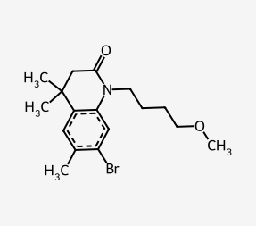 COCCCCN1C(=O)CC(C)(C)c2cc(C)c(Br)cc21